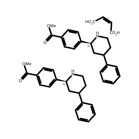 COC(=O)c1ccc([C@@H]2CC(c3ccccc3)CCN2)cc1.COC(=O)c1ccc([C@@H]2CC(c3ccccc3)CCN2)cc1.O=C(O)/C=C\C(=O)O